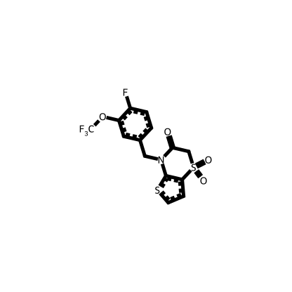 O=C1CS(=O)(=O)c2ccsc2N1Cc1ccc(F)c(OC(F)(F)F)c1